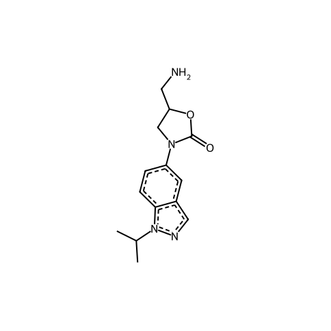 CC(C)n1ncc2cc(N3CC(CN)OC3=O)ccc21